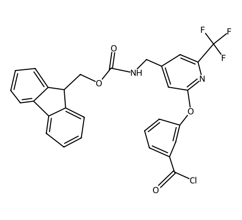 O=C(NCc1cc(Oc2cccc(C(=O)Cl)c2)nc(C(F)(F)F)c1)OCC1c2ccccc2-c2ccccc21